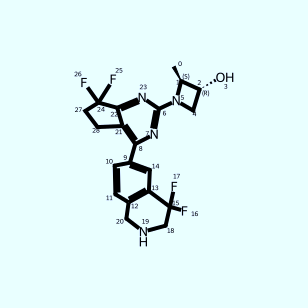 C[C@H]1[C@H](O)CN1c1nc(-c2ccc3c(c2)C(F)(F)CNC3)c2c(n1)C(F)(F)CC2